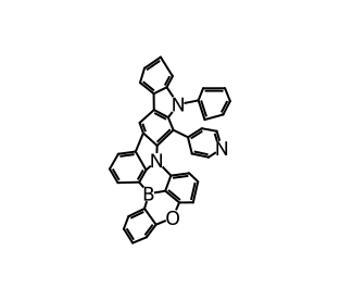 c1ccc(-n2c3ccccc3c3cc4c5cccc6c5n(c4c(-c4ccncc4)c32)-c2cccc3c2B6c2ccccc2O3)cc1